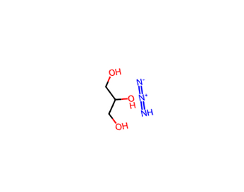 OCC(O)CO.[N-]=[N+]=N